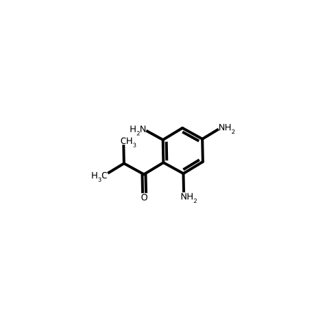 CC(C)C(=O)c1c(N)cc(N)cc1N